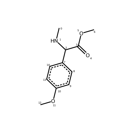 CNC(C(=O)OC)c1ccc(OC)cc1